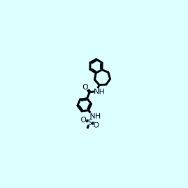 CS(=O)(=O)Nc1cccc(C(=O)NC2CCCc3ccccc3C2)c1